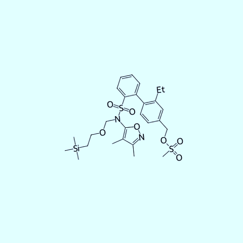 CCc1cc(COS(C)(=O)=O)ccc1-c1ccccc1S(=O)(=O)N(COCC[Si](C)(C)C)c1onc(C)c1C